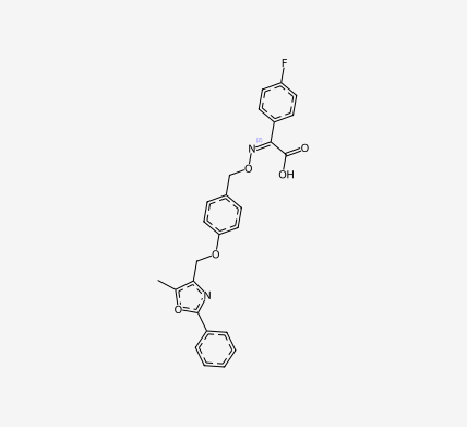 Cc1oc(-c2ccccc2)nc1COc1ccc(CO/N=C(\C(=O)O)c2ccc(F)cc2)cc1